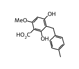 COc1cc(O)c(Cc2ccc(C)cc2)c(O)c1C(=O)O